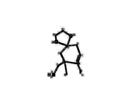 CC1(CN)CC2(CC=C1F)OCCO2